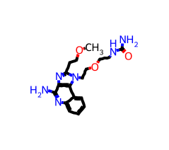 COCCc1nc2c(N)nc3ccccc3c2n1CCOCCNC(N)=O